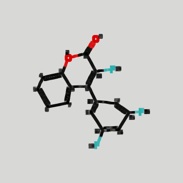 O=c1oc2ccccc2c(-c2cc(F)cc(F)c2)c1F